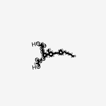 C=C(CO)C(=O)OCOc1cc(OCOC(=O)C(=C)CO)cc(-c2ccc(C#Cc3ccc(CCCCCCC)cc3)cc2CC)c1